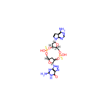 Nc1nc2c(nnn2[C@@H]2O[C@@H]3COP(O)(=S)O[C@H]4C[C@H](n5ccc6c(N)ncnc65)O[C@@H]4COP(O)(=S)O[C@@H]2C3)c(=O)[nH]1